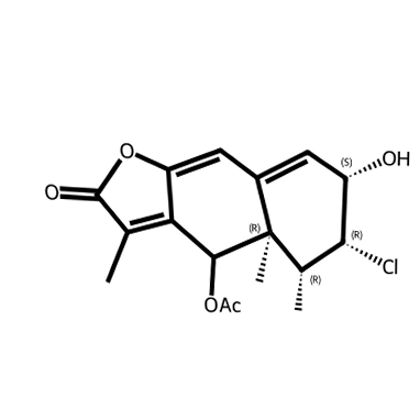 CC(=O)OC1C2=C(C)C(=O)OC2=CC2=C[C@H](O)[C@H](Cl)[C@H](C)[C@]21C